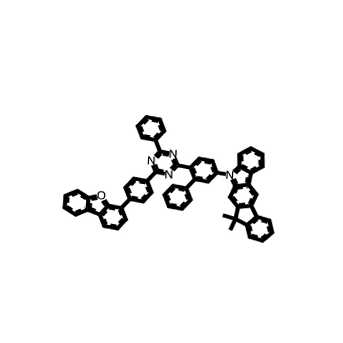 CC1(C)c2ccccc2-c2cc3c4ccccc4n(-c4ccc(-c5nc(-c6ccccc6)nc(-c6ccc(-c7cccc8c7oc7ccccc78)cc6)n5)c(-c5ccccc5)c4)c3cc21